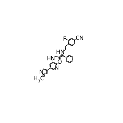 Cn1cc(-c2cnc3c(c2)NC[C@@H]([C@H](NCCc2ccc(C#N)cc2F)c2ccccc2)O3)cn1